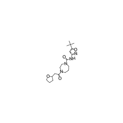 CC(C)(C)c1cc(NC(=O)N2CCCN(C(=O)CC3CCCO3)CC2)no1